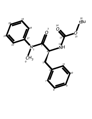 CN(C(=O)[C@H](Cc1ccccc1)NC(=O)OC(C)(C)C)c1ccccc1